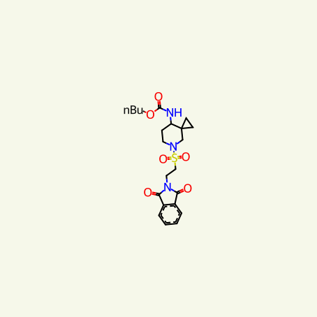 CCCCOC(=O)NC1CCN(S(=O)(=O)CCN2C(=O)c3ccccc3C2=O)CC12CC2